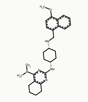 COc1ccc(CN[C@H]2CC[C@@H](Nc3nc4c(c(N(C)C)n3)CCCC4)CC2)c2ccccc12